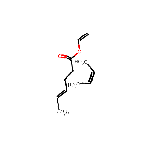 C=COC(=O)CC/C=C/C(=O)O.O=C(O)/C=C\C(=O)O